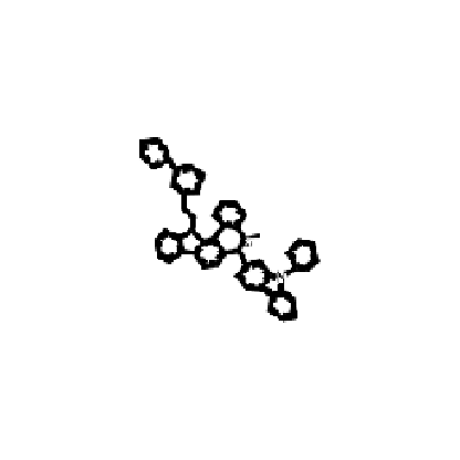 C[C@@H]1c2ccccc2-c2c(ccc3c2C(CCc2cccc(-c4ccccc4)c2)c2ccccc2-3)C1c1ccc2c3ccccc3n(-c3ccccc3)c2c1